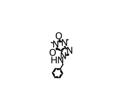 Cn1c(=O)c2c(ncn2NCc2ccccc2)n(C)c1=O